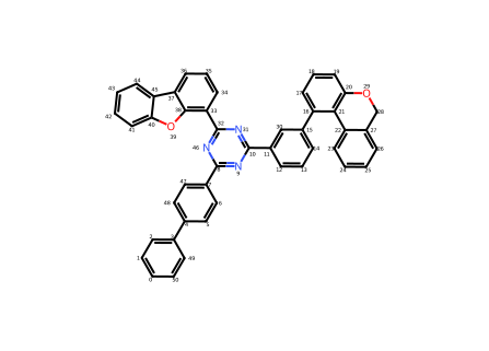 c1ccc(-c2ccc(-c3nc(-c4cccc(-c5cccc6c5-c5ccccc5CO6)c4)nc(-c4cccc5c4oc4ccccc45)n3)cc2)cc1